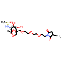 CC1CC(=O)N(CCOCCOCCOC[C@@]23CO[C@@H](O2)[C@@H](N[S+](C)[O-])[C@@H](O)[C@H]3O)C1=O